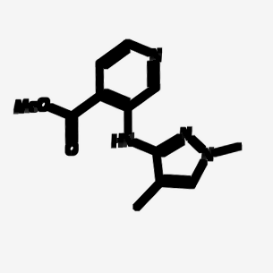 COC(=O)c1ccncc1Nc1nn(C)cc1C